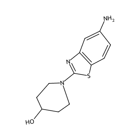 Nc1ccc2sc(N3CCC(O)CC3)nc2c1